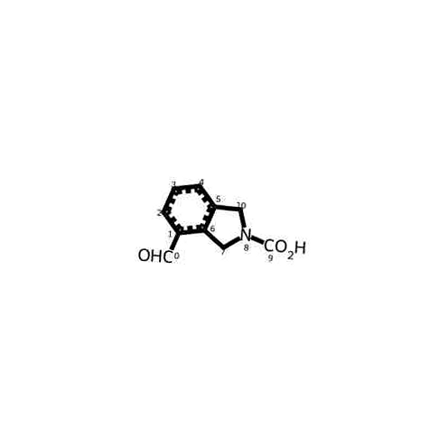 O=Cc1cccc2c1CN(C(=O)O)C2